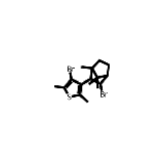 [CH2]C1([CH2])C2CCC1(C)C(c1c(C)sc(C)c1Br)C2Br